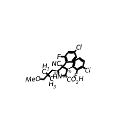 COCC(C)(C)C[C@@H]1N[C@@H](C(=O)O)[C@H](c2cccc(Cl)c2F)[C@@]1(C#N)c1ccc(Cl)cc1F